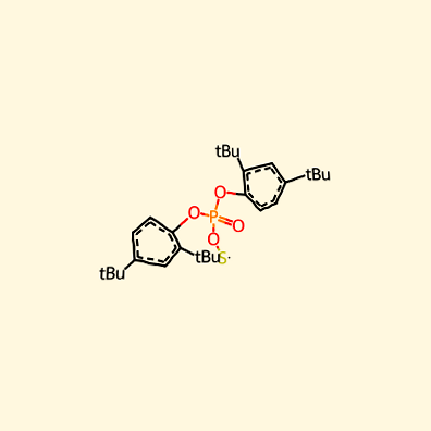 CC(C)(C)c1ccc(OP(=O)(O[S])Oc2ccc(C(C)(C)C)cc2C(C)(C)C)c(C(C)(C)C)c1